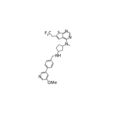 COc1cncc(-c2ccc(CNC3CCC(N(C)c4ncnc5sc(CC(F)(F)F)cc45)C3)cc2)c1